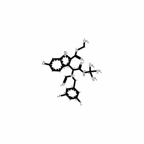 CCOC(=O)c1[nH]c2cc(Cl)ccc2c1C(C(=O)NC(C)(C)C)N(C=O)Cc1cc(F)cc(F)c1